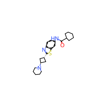 O=C(Nc1ccc2nc([C@H]3C[C@H](N4CCCCC4)C3)sc2c1)C1CCCCC1